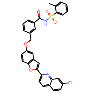 Cc1ccccc1S(=O)(=O)NC(=O)c1cccc(COc2ccc3oc(-c4ccc5ccc(Cl)cc5n4)cc3c2)c1